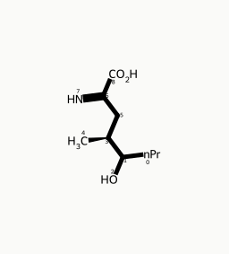 CCCC(O)[C@@H](C)CC(=N)C(=O)O